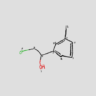 Cc1cccc(C(O)CCl)c1